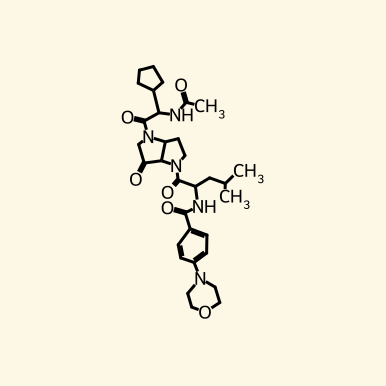 CC(=O)NC(C(=O)N1CC(=O)C2C1CCN2C(=O)C(CC(C)C)NC(=O)c1ccc(N2CCOCC2)cc1)C1CCCC1